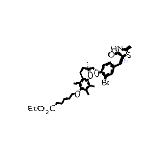 C=c1[nH]c(=O)/c(=C\c2ccc(OC[C@]3(C)CCc4c(C)c(OCCCCCC(=O)OCC)c(C)c(C)c4O3)c(Br)c2)s1